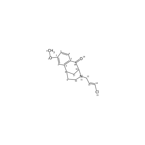 COc1ccc2c(c1)C1CCN(C/C=C/Cl)C(C1)C2=O